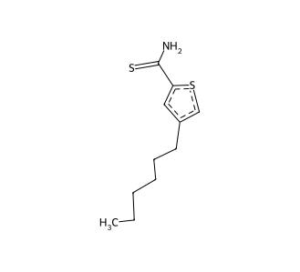 CCCCCCc1csc(C(N)=S)c1